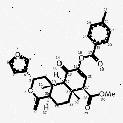 C=C1O[C@H](c2ccoc2)C[C@]2(C)[C@H]3C(=O)C(OC(=O)c4ccc(C)cc4)=C[C@@H](C(=O)OC)[C@]3(C)CC[C@@H]12